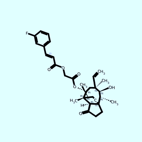 C=C[C@]1(C)C[C@@H](OC(=O)COC(=O)/C=C/c2cccc(F)c2)[C@]2(C)[C@H](C)CC[C@]3(CCC(=O)[C@H]32)[C@@H](C)[C@@H]1O